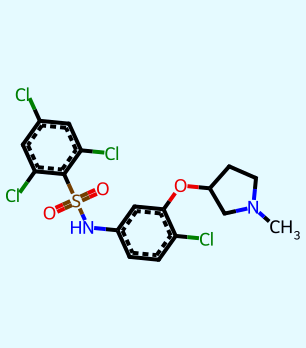 CN1CCC(Oc2cc(NS(=O)(=O)c3c(Cl)cc(Cl)cc3Cl)ccc2Cl)C1